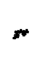 CCc1nnc(C(C)CCC(C)c2cncc(C(C)C)c2)o1